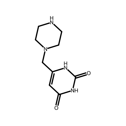 O=c1cc(CN2CCNCC2)[nH]c(=O)[nH]1